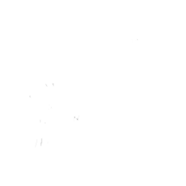 CCn1cc(-c2ccc(F)c(Br)c2)cc1S(C)(=O)=O